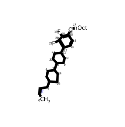 C/C=C\CC1CCC(C2CCC(c3ccc(OCCCCCCCC)c(F)c3F)CC2)CC1